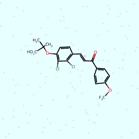 CC(C)(Oc1ccc(/C=C/C(=O)c2ccc(OC(F)(F)F)cc2)c(Cl)c1Cl)C(=O)O